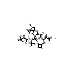 CN1CC2(C[C@@H](C(=O)NC(CC3CCC3)C(=O)C(N)=O)N(C(=O)[C@@H](NC(=O)NC(C)(C)C)C(C)(C)C)C2)C12CC2